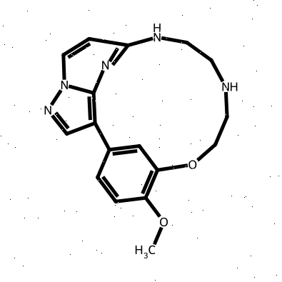 COc1ccc2cc1OCCNCCNc1ccn3ncc-2c3n1